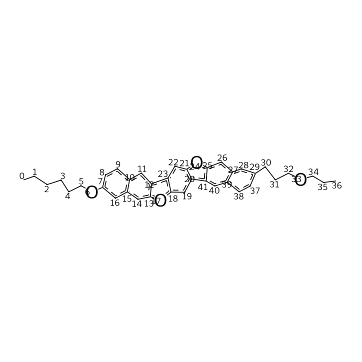 CCCCCCOc1ccc2cc3c(cc2c1)oc1cc2c(cc13)oc1cc3cc(CCCOCCC)ccc3cc12